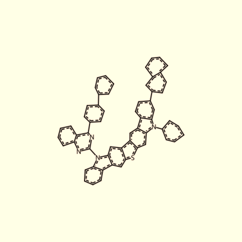 c1ccc(-c2ccc(-c3nc(-n4c5ccccc5c5cc6sc7cc8c(cc7c6cc54)c4ccc(-c5ccc6ccccc6c5)cc4n8-c4ccccc4)nc4ccccc34)cc2)cc1